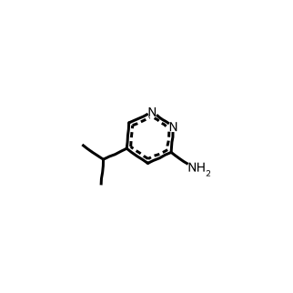 CC(C)c1cnnc(N)c1